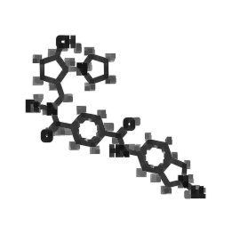 CCN1Cc2ccc(NC(=O)c3ccc(C(=O)N(CC)CC4CCC(C)C4N4CCCC4)cc3)cc2C1